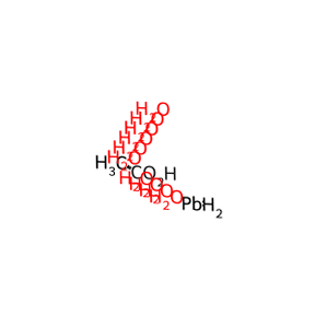 CC(=O)O.O.O.O.O.O.O.O.O.O.O.[PbH2]